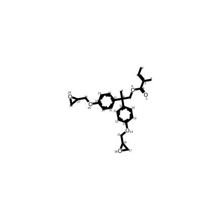 CC=C(C)C(=O)OCC(C)(c1ccc(OCC2CO2)cc1)c1ccc(OCC2CO2)cc1